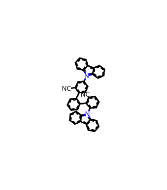 N#Cc1cc(-n2c3ccccc3c3ccccc32)ccc1-c1ccccc1-c1c(C#N)cccc1-n1c2ccccc2c2ccccc21